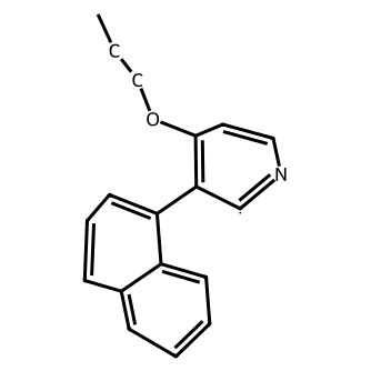 CCCOc1ccn[c]c1-c1cccc2ccccc12